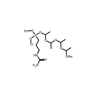 CCO[Si](CCCNC(N)=O)(OCC)OC(C)OC(C)OC(C)OC(C)OC